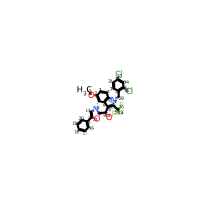 COc1ccc2c(c1)c(C(=O)c1ncc(-c3ccccc3)o1)c(C(F)(F)F)n2Cc1ccc(Cl)cc1Cl